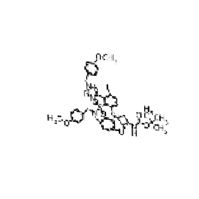 COc1ccc(CN(Cc2ccc(OC)cc2)S(=O)(=O)c2c(SC3CC(NC(=O)OC(C)(C)C)C3)ccc(I)c2-c2nnn(Cc3ccc(OC)cc3)n2)cc1